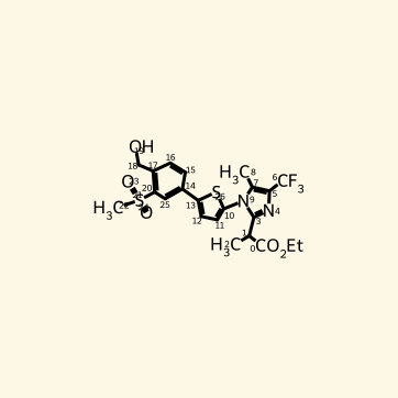 CCOC(=O)C(C)c1nc(C(F)(F)F)c(C)n1-c1ccc(-c2ccc(CO)c(S(C)(=O)=O)c2)s1